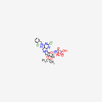 CC1(C)O[C@@H]2[C@H](O1)[C@@H](CNS(=O)(=O)CP(=O)(O)O)O[C@H]2n1ncc2c(NCc3ccccc3Cl)nc(Cl)nc21